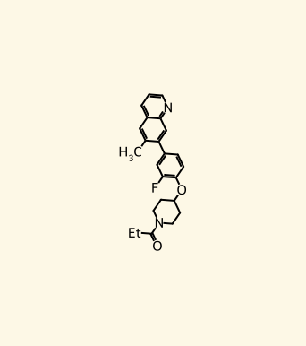 CCC(=O)N1CCC(Oc2ccc(-c3cc4ncccc4cc3C)cc2F)CC1